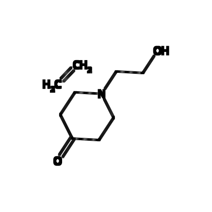 C=C.O=C1CCN(CCO)CC1